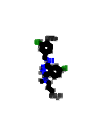 COc1ccc(CNc2nnc(N(C)CCCC(=O)O)c3ccc(Cl)cc23)cc1Cl